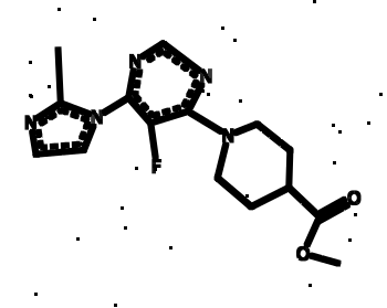 COC(=O)C1CCN(c2ncnc(-n3ccnc3C)c2F)CC1